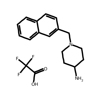 NC1CCN(Cc2ccc3ccccc3c2)CC1.O=C(O)C(F)(F)F